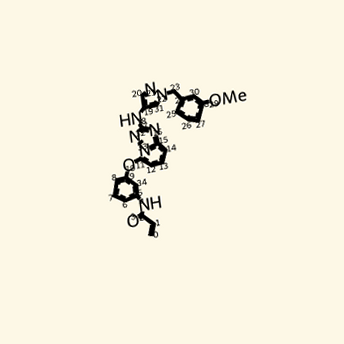 C=CC(=O)Nc1cccc(Oc2cccc3nc(Nc4cnn(Cc5cccc(OC)c5)c4)nn23)c1